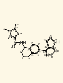 Cc1nc(C(=O)NC2CCCc3cc(-c4ncnc5[nH]ncc45)ccc32)sc1C